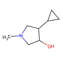 CN1CC(O)C(C2CC2)C1